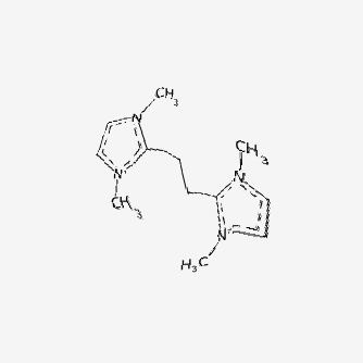 Cn1cc[n+](C)c1CCc1n(C)cc[n+]1C